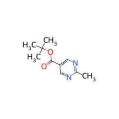 Cc1ncc(C(=O)OC(C)(C)C)cn1